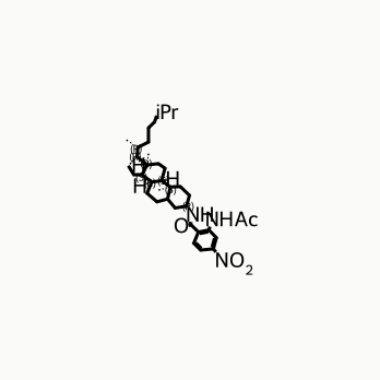 CC(=O)Nc1cc([N+](=O)[O-])ccc1C(=O)N[C@@H]1CC[C@@]2(C)C(CC[C@H]3[C@@H]4CC[C@H]([C@H](C)CCCC(C)C)[C@@]4(C)CC[C@@H]32)C1